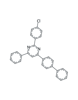 Clc1ccc(-c2nc(-c3ccccc3)cc(-c3ccc(-c4ccccc4)cc3)n2)cc1